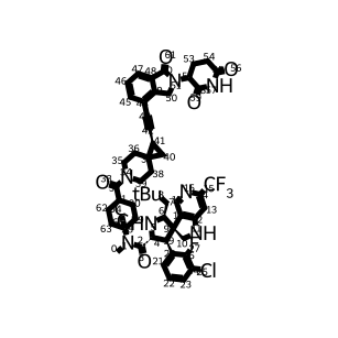 CN(C(=O)[C@@H]1N[C@@H](CC(C)(C)C)[C@@]2(CNc3cc(C(F)(F)F)ncc32)[C@H]1c1cccc(Cl)c1F)C12CCC(C(=O)N3CCC4(CC3)C[C@@H]4C#Cc3cccc4c3CN(C3CCC(=O)NC3=O)C4=O)(CC1)CC2